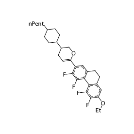 CCCCCC1CCC(C2CC=C(c3cc4c(c(F)c3F)-c3c(cc(OCC)c(F)c3F)CC4)OC2)CC1